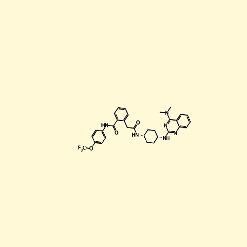 CN(C)c1nc(N[C@H]2CC[C@@H](NC(=O)Cc3ccccc3C(=O)Nc3ccc(OC(F)(F)F)cc3)CC2)nc2ccccc12